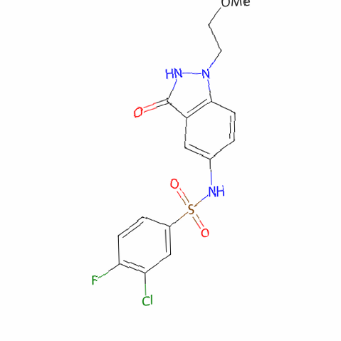 COCCn1[nH]c(=O)c2cc(NS(=O)(=O)c3ccc(F)c(Cl)c3)ccc21